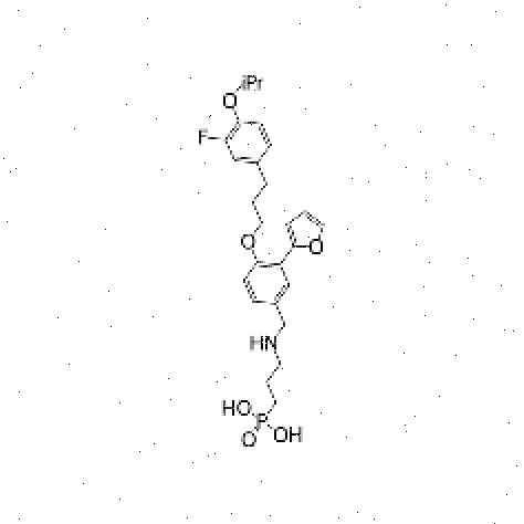 CC(C)Oc1ccc(CCCOc2ccc(CNCCCP(=O)(O)O)cc2-c2ccco2)cc1F